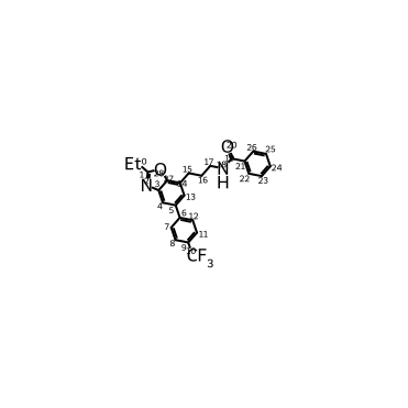 CCc1nc2cc(-c3ccc(C(F)(F)F)cc3)cc(CCCNC(=O)c3ccccc3)c2o1